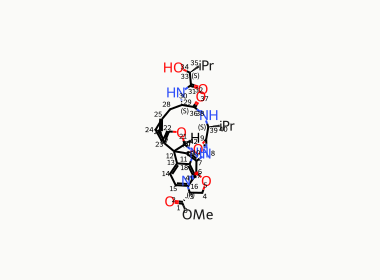 COC(=O)[C@H]1COC(c2nc3oc2C24c5ccccc5N[C@H]2Oc2ccc(cc24)C[C@H](NC(=O)[C@@H](O)C(C)C)C(=O)N[C@H]3C(C)C)=N1